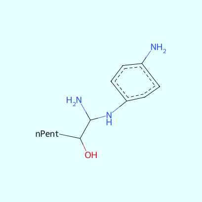 CCCCCC(O)C(N)Nc1ccc(N)cc1